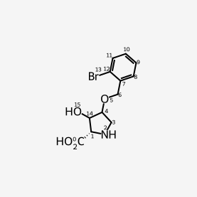 O=C(O)[C@H]1NCC(OCc2ccccc2Br)C1O